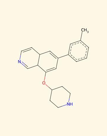 Cc1cccc(C2=CC3C=CN=CC3C(OC3CCNCC3)=C2)c1